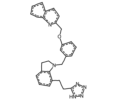 c1cc(CN2CCc3cccc(CCc4nnn[nH]4)c32)cc(OCc2ccc3ccccc3n2)c1